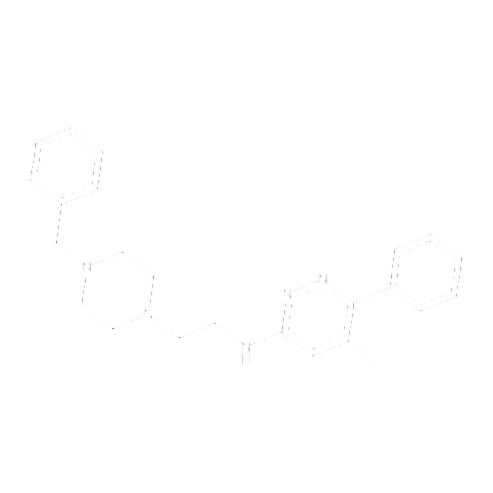 Cc1cc(NCCN2CCN(Cc3ccccc3)CC2)nnc1-c1ccccc1